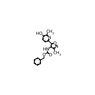 Cc1nc(-c2onc(C)c2NC(=O)OCc2ccccc2)ccc1O